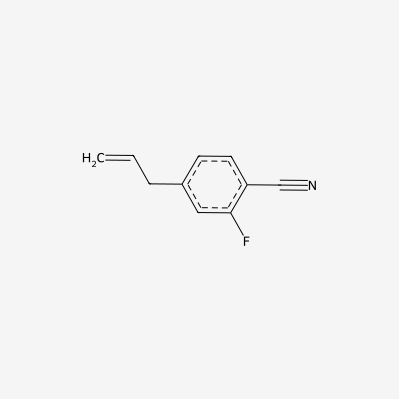 C=CCc1ccc(C#N)c(F)c1